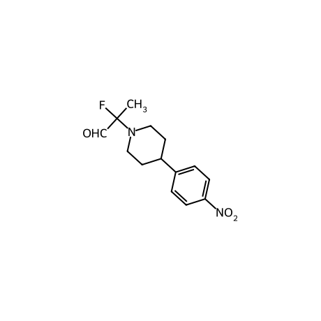 CC(F)(C=O)N1CCC(c2ccc([N+](=O)[O-])cc2)CC1